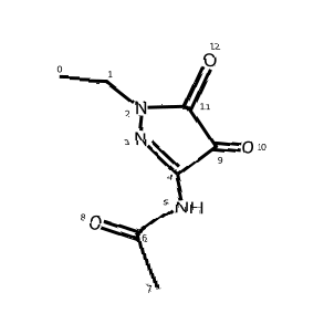 CCN1N=C(NC(C)=O)C(=O)C1=O